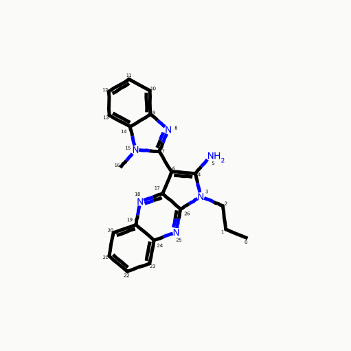 CCCn1c(N)c(-c2nc3ccccc3n2C)c2nc3ccccc3nc21